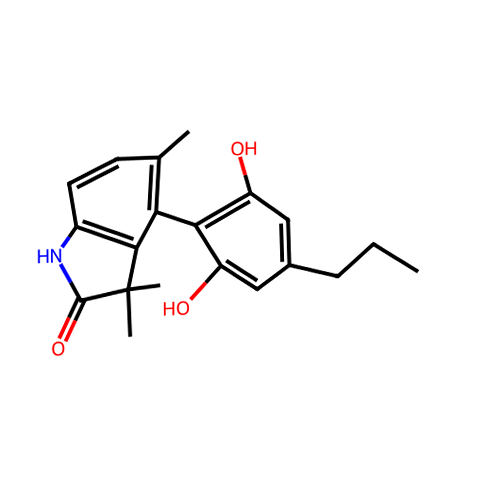 CCCc1cc(O)c(-c2c(C)ccc3c2C(C)(C)C(=O)N3)c(O)c1